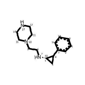 c1ccc(C2C[C@@H]2NCCN2CCNCC2)cc1